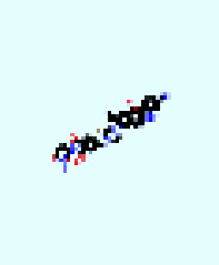 CCc1cc2c(cc1N1CCN(Cc3cc4c(cc3Br)C(=O)N(C3CCC(=O)NC3=O)C4=O)CC1)C(C)(C)c1[nH]c3cc(C#N)ccc3c1C2=O